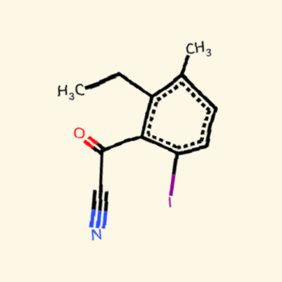 CCc1c(C)ccc(I)c1C(=O)C#N